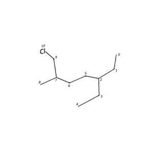 CCC(CC)CCC(C)CCl